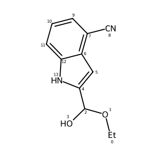 CCOC(O)c1cc2c(C#N)cccc2[nH]1